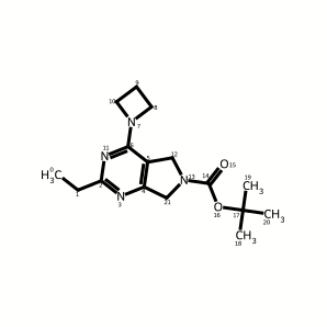 CCc1nc2c(c(N3CCC3)n1)CN(C(=O)OC(C)(C)C)C2